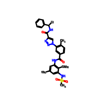 CC[C@@H](NC(=O)c1cn(-c2cc(C(=O)Nc3cc(C(C)(C)C)cc(NS(C)(=O)=O)c3OC)ccc2C)nn1)c1ccccc1